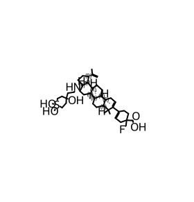 C=C(C)[C@@H]1CC[C@]2(NCCC3(O)CCS(O)(O)CC3)CC[C@]3(C)[C@H](CC[C@@H]4[C@@]5(C)CC=C(C6=CCC(CF)(C(=O)O)CC6)C(C)(C)[C@@H]5CC[C@]43C)[C@@H]12